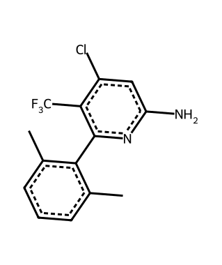 Cc1cccc(C)c1-c1nc(N)cc(Cl)c1C(F)(F)F